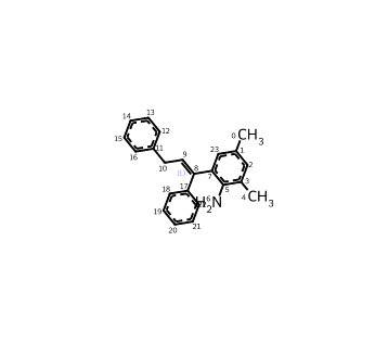 Cc1cc(C)c(N)c(/C(=C/Cc2ccccc2)c2ccccc2)c1